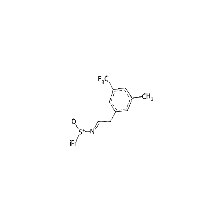 Cc1cc(CC=N[S+]([O-])C(C)C)cc(C(F)(F)F)c1